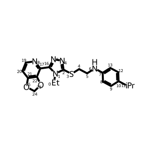 CCn1c(SCCNc2ccc(C(C)C)cc2)nnc1-c1nccc2c1OCO2